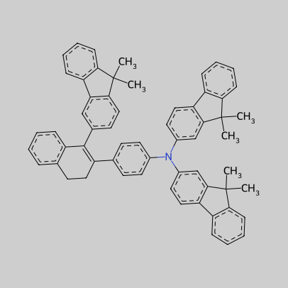 CC1(C)c2ccccc2-c2cc(C3=C(c4ccc(N(c5ccc6c(c5)C(C)(C)c5ccccc5-6)c5ccc6c(c5)C(C)(C)c5ccccc5-6)cc4)CCc4ccccc43)ccc21